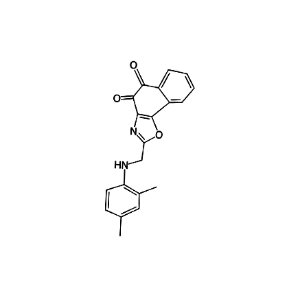 Cc1ccc(NCc2nc3c(o2)-c2ccccc2C(=O)C3=O)c(C)c1